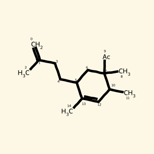 C=C(C)CCC1CC(C)(C(C)=O)C(C)C=C1C